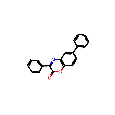 O=c1oc2ccc(-c3ccccc3)cc2nc1-c1ccccc1